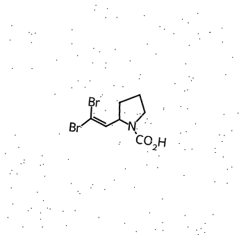 O=C(O)N1CCCC1C=C(Br)Br